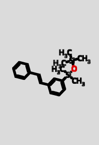 C[Si](C)(C)O[Si](C)(C)c1cccc(/C=C/c2ccccc2)c1